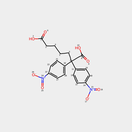 O=C(O)CCCCC(C(=O)O)(c1ccc([N+](=O)[O-])cc1)c1ccc([N+](=O)[O-])cc1